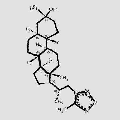 CCC[C@@]1(O)CC[C@H]2[C@@H](CC[C@@H]3[C@@H]2CC[C@]2(C)[C@@H]([C@@H](C)Cn4nnnc4C)CC[C@@H]32)C1